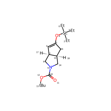 CC[Si](CC)(CC)OC1=C[C@@H]2CN(C(=O)OC(C)(C)C)C[C@@H]2C1